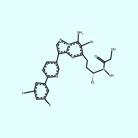 CCCN(C(=O)CO)[C@H](CC)CCc1nc2c(-c3ccc(-c4cc(F)cc(F)c4)nc3)cnn2c(N)c1C(C)=O